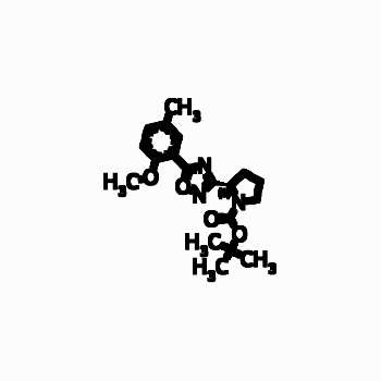 COc1ccc(C)cc1-c1nc([C@@H]2CCCN2C(=O)OC(C)(C)C)no1